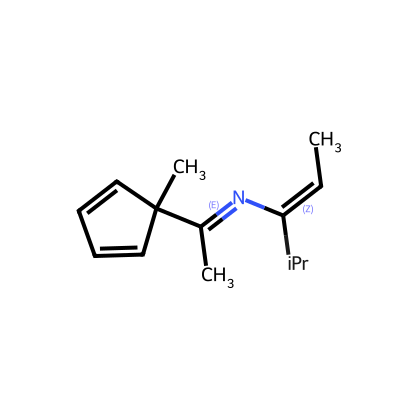 C/C=C(\N=C(/C)C1(C)C=CC=C1)C(C)C